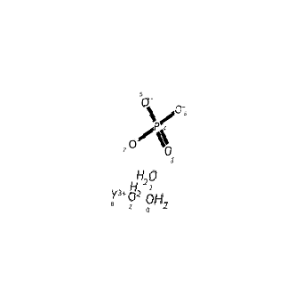 O.O.O.O=P([O-])([O-])[O-].[Y+3]